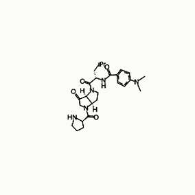 CC(C)C[C@H](NC(=O)c1ccc(N(C)C)cc1)C(=O)N1CC[C@@H]2[C@H]1C(=O)CN2C(=O)[C@H]1CCCN1